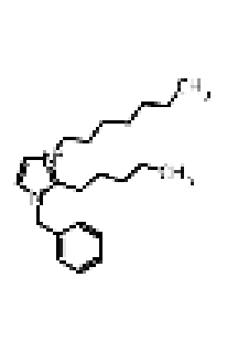 CCCCCCC[n+]1ccn(Cc2ccccc2)c1CCCCC